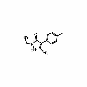 Cc1ccc(-c2c(C(C)(C)C)[nH]n(CC(C)C)c2=O)cc1